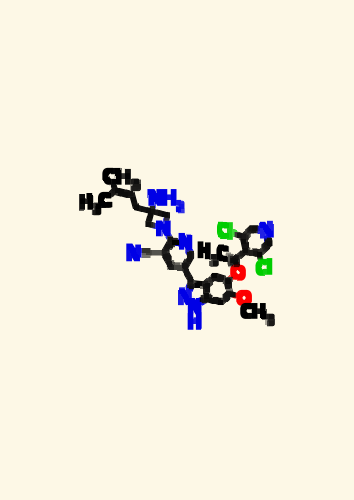 COc1cc2[nH]nc(-c3cnc(N4CC(N)(CC=C(C)C)C4)c(C#N)c3)c2cc1O[C@H](C)c1c(Cl)cncc1Cl